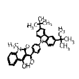 Cn1c(=O)c(C(=O)c2ccc(-n3c4ccc(C(C)(C)C)cc4c4cc(C(C)(C)C)ccc43)cc2)c(O)c2ccccc21